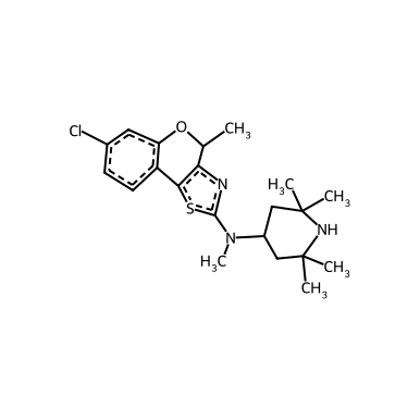 CC1Oc2cc(Cl)ccc2-c2sc(N(C)C3CC(C)(C)NC(C)(C)C3)nc21